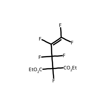 CCOC(=O)C(F)(C(=O)OCC)C(F)(F)C(F)=C(F)F